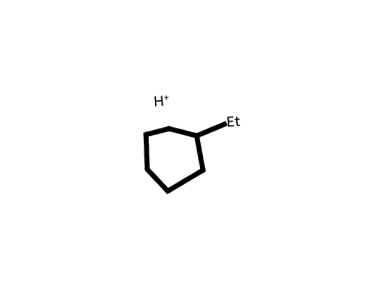 CCC1CCCCC1.[H+]